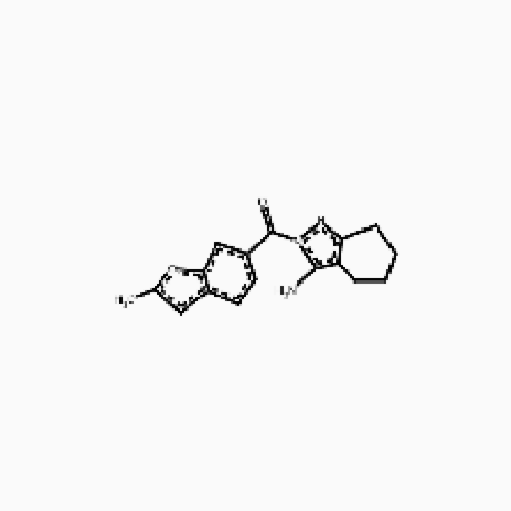 Cc1cc2ccc(C(=O)n3nc4c(c3N)CCCC4)cc2o1